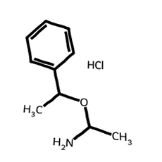 CC(N)OC(C)c1ccccc1.Cl